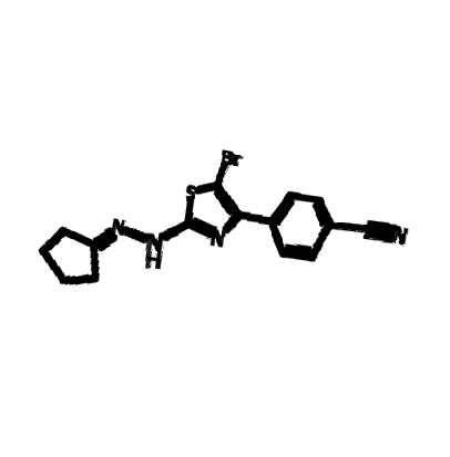 N#Cc1ccc(-c2nc(NN=C3CCCC3)sc2Br)cc1